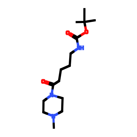 CN1CCN(C(=O)CCCCNC(=O)OC(C)(C)C)CC1